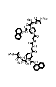 CN[C@@H](C)C(=O)N[C@H](C(=O)N1CCN(C(=O)CNC(=O)NCC(=O)N2CCN(C(=O)[C@@H](NC(=O)[C@H](C)NC)C(C)(C)C)[C@H](C(=O)N[C@@H]3CCCc4ccccc43)C2)C[C@H]1C(=O)N[C@@H]1CCCc2ccccc21)C(C)(C)C